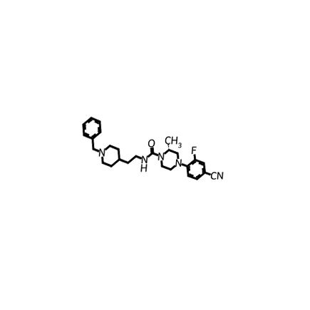 C[C@@H]1CN(c2ccc(C#N)cc2F)CCN1C(=O)NCCC1CCN(Cc2ccccc2)CC1